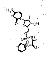 CC(NP(=O)(OC[C@H]1S[C@@H](n2ccc(N)nc2=O)[C@@H](F)[C@@H]1O)Oc1cccnc1)C(=O)O